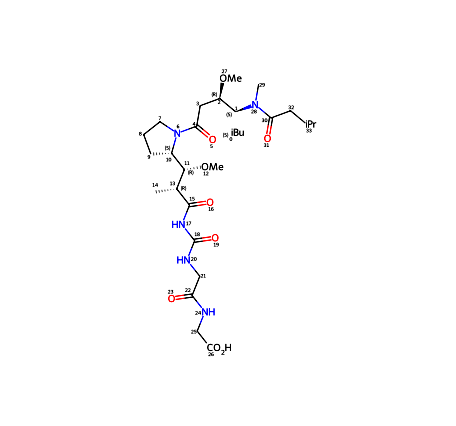 CC[C@H](C)[C@@H]([C@@H](CC(=O)N1CCC[C@H]1[C@H](OC)[C@@H](C)C(=O)NC(=O)NCC(=O)NCC(=O)O)OC)N(C)C(=O)CC(C)C